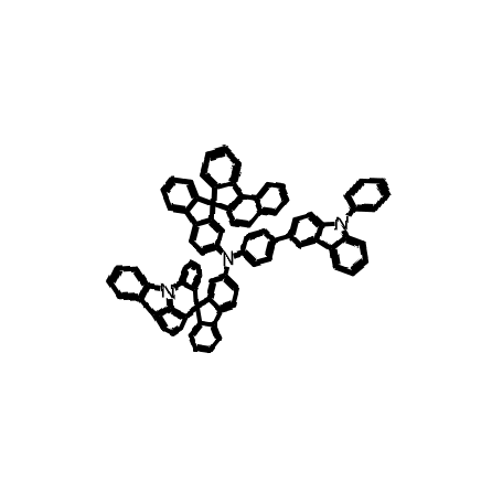 c1ccc(-n2c3ccccc3c3cc(-c4ccc(N(c5ccc6c(c5)C5(c7ccccc7-6)c6ccccc6-c6c5ccc5ccccc65)c5ccc6c(c5)C5(c7ccccc7-6)c6ccccc6-n6c7ccccc7c7cccc5c76)cc4)ccc32)cc1